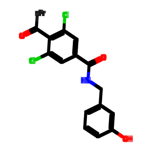 CCCC(=O)c1c(Cl)cc(C(=O)NCc2cccc(O)c2)cc1Cl